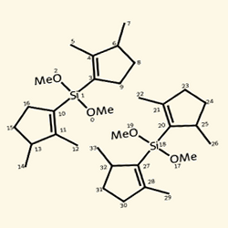 CO[Si](OC)(C1=C(C)C(C)CC1)C1=C(C)C(C)CC1.CO[Si](OC)(C1=C(C)CCC1C)C1=C(C)CCC1C